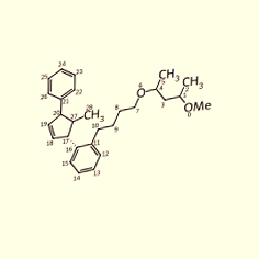 COC(C)CC(C)OCCCCc1ccccc1[C@@H]1C=CC(c2ccccc2)C1C